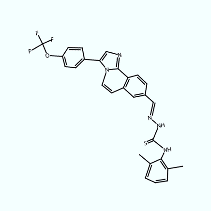 Cc1cccc(C)c1NC(=S)NN=Cc1ccc2c(ccn3c(-c4ccc(OC(F)(F)F)cc4)cnc23)c1